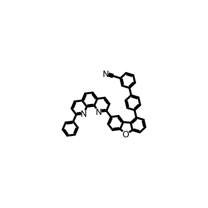 N#Cc1cccc(-c2ccc(-c3cccc4oc5ccc(-c6ccc7ccc8ccc(-c9ccccc9)nc8c7n6)cc5c34)cc2)c1